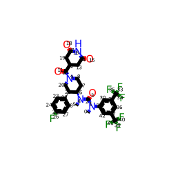 CN(C(=O)N(C)[C@@H]1CCN(C(=O)C2CC(=O)NC(=O)C2)C[C@H]1c1ccc(F)cc1)c1cc(C(F)(F)F)cc(C(F)(F)F)c1